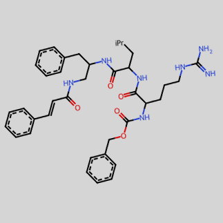 CC(C)CC(NC(=O)C(CCCNC(=N)N)NC(=O)OCc1ccccc1)C(=O)NC(CNC(=O)/C=C/c1ccccc1)Cc1ccccc1